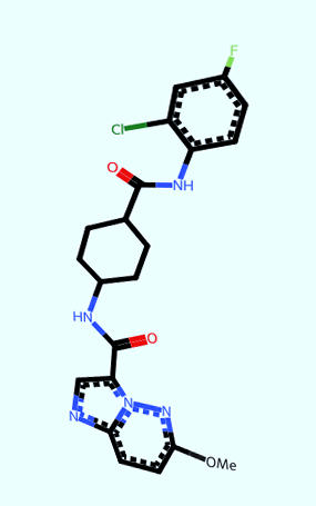 COc1ccc2ncc(C(=O)NC3CCC(C(=O)Nc4ccc(F)cc4Cl)CC3)n2n1